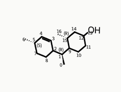 C[C@@H](C1C=C[C@@H](C)CC1)C1CCC(O)C[C@H]1C